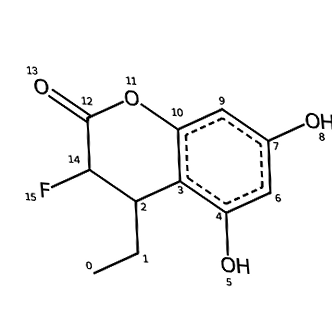 CCC1c2c(O)cc(O)cc2OC(=O)C1F